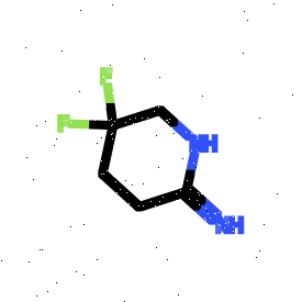 N=C1CCC(F)(F)CN1